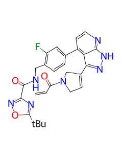 C=CC(=O)N1CC=C(c2n[nH]c3nccc(-c4ccc(CNC(=O)c5noc(C(C)(C)C)n5)c(F)c4)c23)C1